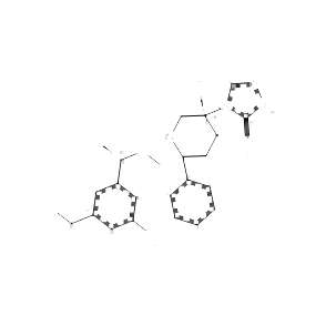 C[C@@H](OC[C@@]1(c2ccccc2)CC[C@@](C=O)(n2cn[nH]c2=O)CN1)c1cc(CF)cc(C(F)(F)F)c1